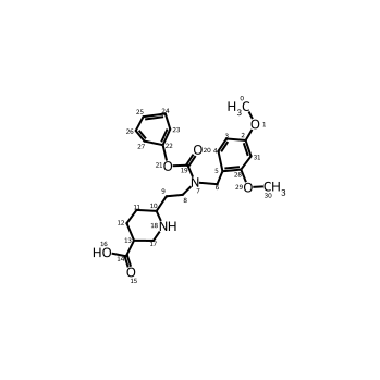 COc1ccc(CN(CCC2CCC(C(=O)O)CN2)C(=O)Oc2ccccc2)c(OC)c1